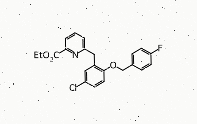 CCOC(=O)c1cccc(Cc2cc(Cl)ccc2OCc2ccc(F)cc2)n1